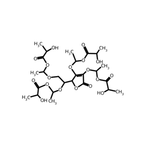 CC(OCC(OC(C)OC(=O)C(C)O)C1OC(=O)C(OC(C)OC(=O)C(C)O)=C1OC(C)OC(=O)C(C)O)OC(=O)C(C)O